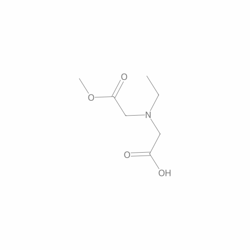 CCN(CC(=O)O)CC(=O)OC